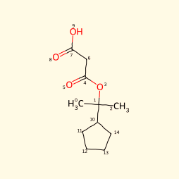 CC(C)(OC(=O)CC(=O)O)C1CCCC1